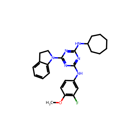 COc1ccc(Nc2nc(NC3CCCCCC3)nc(N3CCc4ccccc43)n2)cc1F